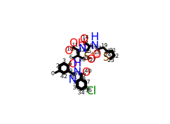 Cc1ccc(OCC2=C(C(=O)O)N3C(=O)C(NC(=O)Cc4cccs4)C3[S+]([O-])C2)c(-c2nc3ccc(Cl)cc3c(=O)[nH]2)c1